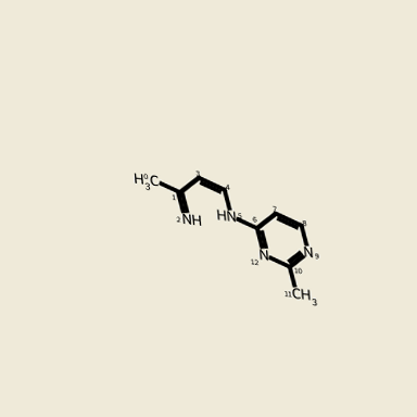 CC(=N)/C=C\Nc1ccnc(C)n1